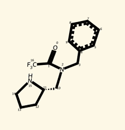 O=C(N(Cc1ccccc1)C[C@@H]1CCCN1)C(F)(F)F